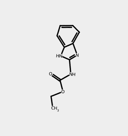 CCOC(=O)Nc1nc2ccccc2[nH]1